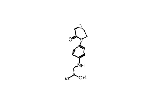 CCC(O)CNc1ccc(N2CCOCC2=O)cc1